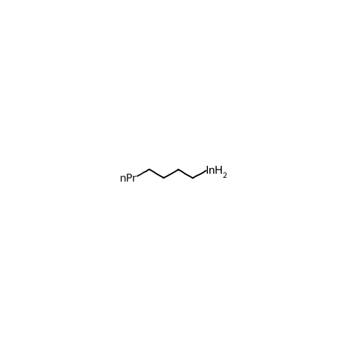 CCCCCC[CH2][InH2]